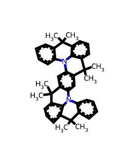 CC1(C)c2ccccc2N2c3cc4c(cc3C(C)(C)c3cccc1c32)N1c2ccccc2C(C)(C)c2cccc(c21)C4(C)C